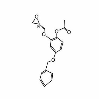 CC(=O)Oc1ccc(OCc2ccccc2)cc1OC[C@H]1CO1